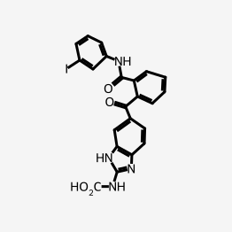 O=C(O)Nc1nc2ccc(C(=O)c3ccccc3C(=O)Nc3cccc(I)c3)cc2[nH]1